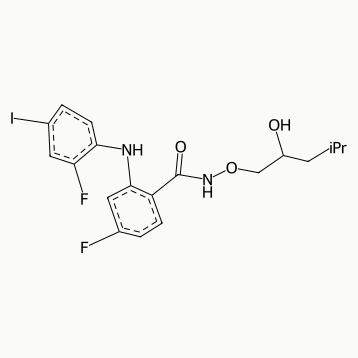 CC(C)CC(O)CONC(=O)c1ccc(F)cc1Nc1ccc(I)cc1F